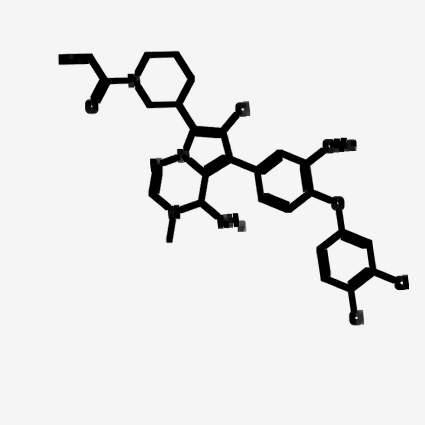 C=CC(=O)N1CCCC(c2c(Cl)c(-c3ccc(Oc4ccc(Cl)c(Cl)c4)c(OC)c3)c3n2N=CN(C)C3N)C1